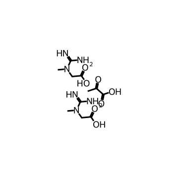 CC(=O)C(=O)O.CN(CC(=O)O)C(=N)N.CN(CC(=O)O)C(=N)N